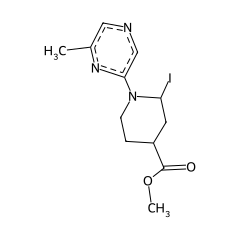 COC(=O)C1CCN(c2cncc(C)n2)C(I)C1